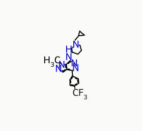 Cn1ncc2c(-c3ccc(C(F)(F)F)cc3)nnc(N[C@@H]3CCCN(CC4CC4)C3)c21